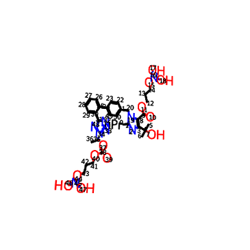 CCCc1nc(C(C)(C)O)c(C(=O)OCCCON(O)O)n1Cc1ccc(-c2ccccc2-c2nnn(C(C)OC(=O)OCCCON(O)O)n2)cc1